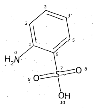 Nc1cc[c]cc1S(=O)(=O)O